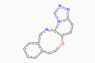 c1ccc2cnc3c(ccc4nncn43)occc2c1